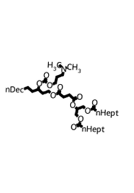 CCCCCCCCCCCCC(CCOC(=O)CCC(=O)OC(COC(=O)CCCCCCC)COC(=O)CCCCCCC)OC(=O)OCCCN(C)C